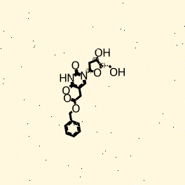 O=C(Cc1cn([C@@H]2C[C@@H](O)[C@H](CO)O2)c(=O)[nH]c1=O)OCc1ccccc1